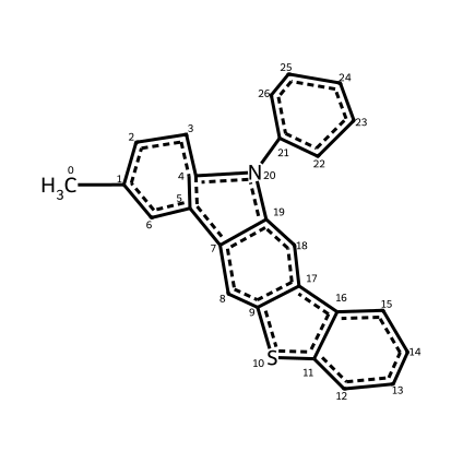 Cc1ccc2c(c1)c1cc3sc4ccccc4c3cc1n2-c1ccccc1